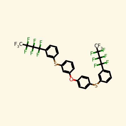 FC(F)(F)C(F)(F)C(F)(F)C(F)(F)c1cccc(Sc2ccc(Oc3cccc(Sc4cccc(C(F)(F)C(F)(F)C(F)(F)C(F)(F)F)c4)c3)cc2)c1